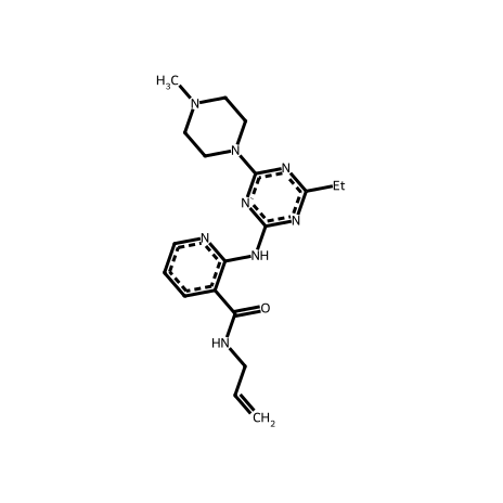 C=CCNC(=O)c1cccnc1Nc1nc(CC)nc(N2CCN(C)CC2)n1